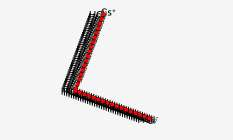 Cl.Cl.Cl.Cl.Cl.Cl.Cl.Cl.Cl.Cl.Cl.Cl.Cl.Cl.Cl.Cl.Cl.Cl.Cl.Cl.Cl.Cl.Cl.Cl.Cl.Cl.Cl.Cl.Cl.Cl.Cl.Cl.Cl.Cl.Cl.Cl.Cl.Cl.Cl.Cl.Cl.Cl.Cl.Cl.Cl.Cl.Cl.Cl.Cl.Cl.Cl.Cl.Cl.Cl.Cl.Cl.Cl.Cl.Cl.Cl.Cl.Cl.Cl.Cl.Cl.Cl.Cl.[Cl-].[Cs+]